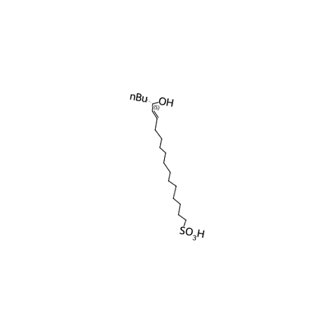 CCCC[C@H](O)C=CCCCCCCCCCCCCS(=O)(=O)O